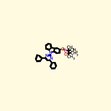 CC1(C)OP(Oc2ccc3c(c2)c2ccccc2n3-c2nc(-c3ccccc3)cc(-c3ccccc3)n2)C1(C)C